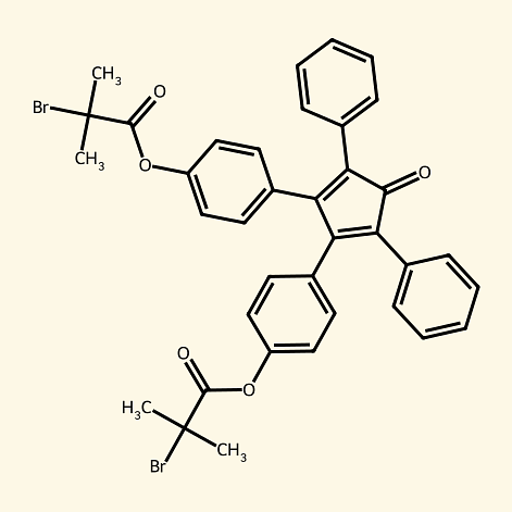 CC(C)(Br)C(=O)Oc1ccc(C2=C(c3ccccc3)C(=O)C(c3ccccc3)=C2c2ccc(OC(=O)C(C)(C)Br)cc2)cc1